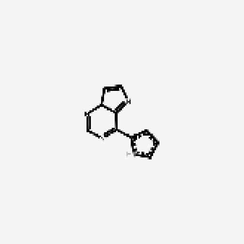 C1=CC2N=CN=C(c3ccc[nH]3)C2=N1